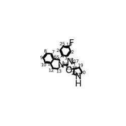 Fc1ccc([C@H]2c3ccccc3CCN2C2=NC[C@@]3(CCNC3)O2)cc1